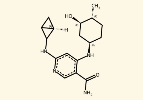 C[C@@H]1CC[C@@H](Nc2cc(NC3C4C[C@H]43)ncc2C(N)=O)C[C@H]1O